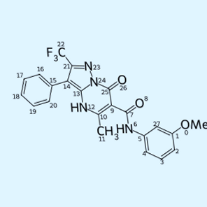 COc1cccc(NC(=O)c2c(C)[nH]c3c(-c4ccccc4)c(C(F)(F)F)nn3c2=O)c1